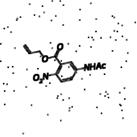 C=CCOC(=O)c1cc(NC(C)=O)ccc1[N+](=O)[O-]